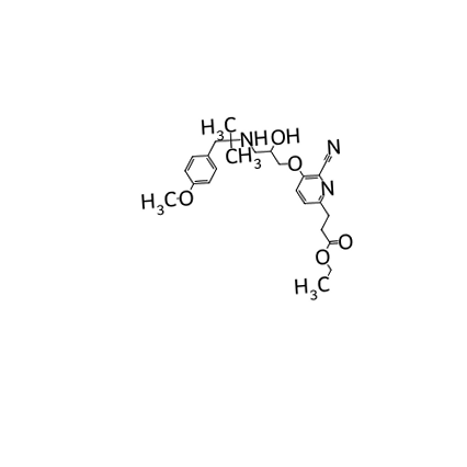 CCOC(=O)CCc1ccc(OCC(O)CNC(C)(C)Cc2ccc(OC)cc2)c(C#N)n1